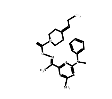 C=C(O/N=C(\N)c1nc(N)nc(N(C)c2ccccc2)n1)N1CCC(=CCC(F)(F)F)CC1